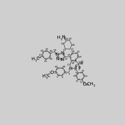 COc1ccc(CN(Cc2ccc(OC)cc2)Cc2c(C(F)(F)F)ccc([C@H]3CC[C@H](N)CC3)c2-c2nnn(Cc3ccc(C)cc3)n2)cc1